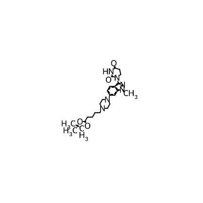 Cn1nc(N2CCC(=O)NC2=O)c2ccc(N3CCN(CCCCC(=O)OC(C)(C)C)CC3)cc21